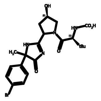 CC1(c2ccc(Br)cc2)NC(C2C[C@@H](O)CN2C(=O)[C@@H](NC(=O)O)C(C)(C)C)=NC1=O